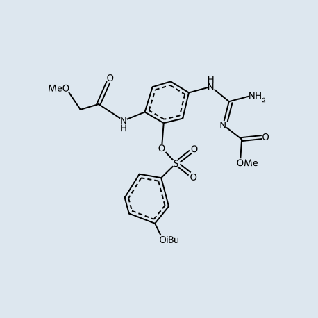 COCC(=O)Nc1ccc(NC(N)=NC(=O)OC)cc1OS(=O)(=O)c1cccc(OCC(C)C)c1